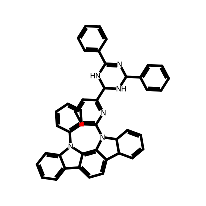 C1=CC2c3ccc4c5ccccc5n(-c5ccccc5)c4c3N(c3cccc(C4NC(c5ccccc5)=NC(c5ccccc5)N4)n3)C2C=C1